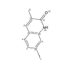 Cc1cc2ccc(I)cc2[nH]c1=O